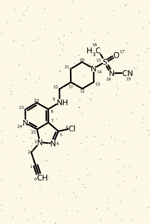 C#CCn1nc(Cl)c2c(NCC3CCN(S(C)(=O)=NC#N)CC3)ccnc21